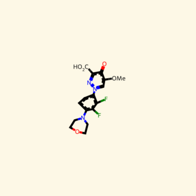 COc1cn(-c2ccc(N3CCOCC3)c(F)c2F)nc(C(=O)O)c1=O